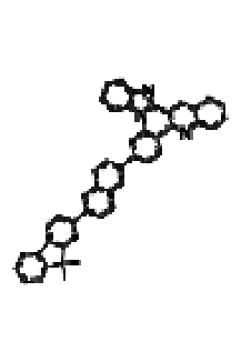 CC1(C)c2ccccc2-c2ccc(-c3ccc4cc(-c5ccc6c7nc8ccccc8cc7c7nc8ccccc8n7c6c5)ccc4c3)cc21